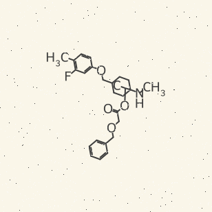 CNC12CCC(COc3ccc(C)c(F)c3)(CC1)CC2OC(=O)COCc1ccccc1